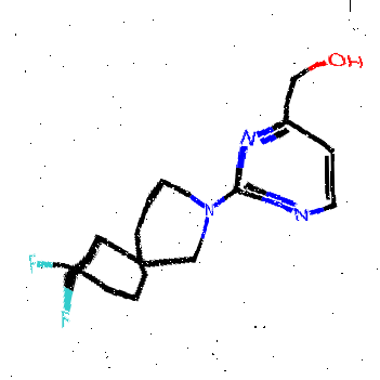 OCc1ccnc(N2CC3(C2)CC(F)(F)C3)n1